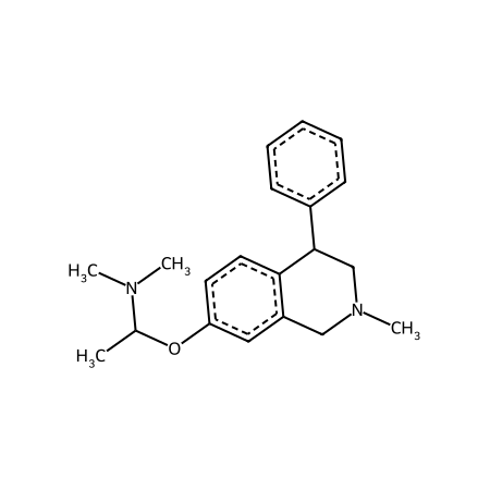 CC(Oc1ccc2c(c1)CN(C)CC2c1ccccc1)N(C)C